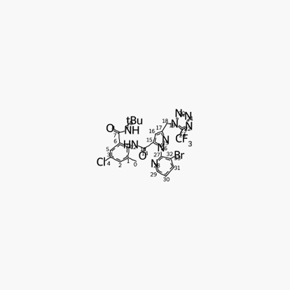 Cc1cc(Cl)cc(C(=O)NC(C)(C)C)c1NC(=O)c1cc(Cn2nnnc2C(F)(F)F)nn1-c1ncccc1Br